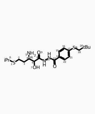 CC(C)SCC[C@@H](N)C(O)C(=O)NNC(=O)c1ccc(SCC(C)(C)C)cc1